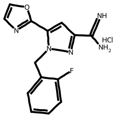 Cl.N=C(N)c1cc(-c2ncco2)n(Cc2ccccc2F)n1